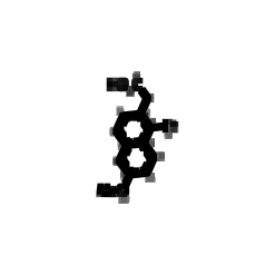 CCc1c(CC(=O)O)ccc2cc(OC)ccc12